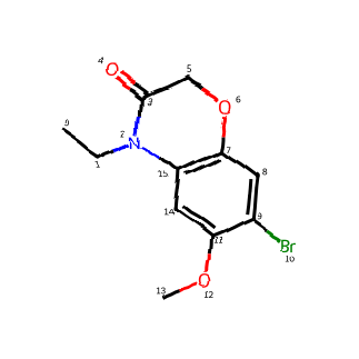 CCN1C(=O)COc2cc(Br)c(OC)cc21